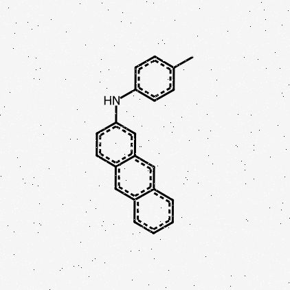 Cc1ccc(Nc2ccc3cc4ccccc4cc3c2)cc1